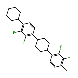 Cc1ccc(C2CCC(c3ccc(C4CCCCC4)c(F)c3F)CC2)c(F)c1F